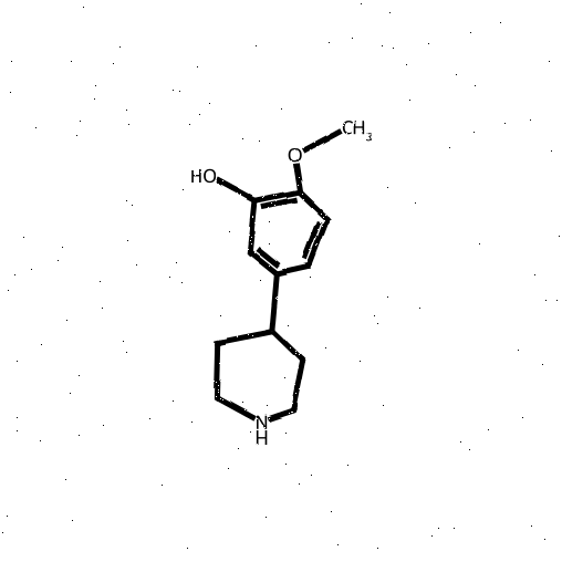 COc1ccc(C2CCNCC2)cc1O